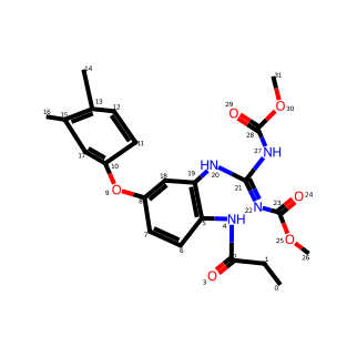 CCC(=O)Nc1ccc(Oc2ccc(C)c(C)c2)cc1NC(=NC(=O)OC)NC(=O)OC